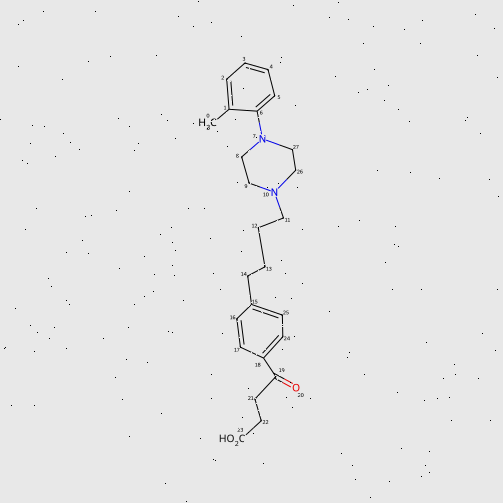 Cc1ccccc1N1CCN(CCCCc2ccc(C(=O)CCC(=O)O)cc2)CC1